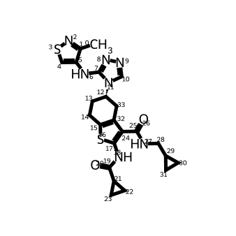 Cc1nscc1Nc1nncn1[C@H]1CCc2sc(NC(=O)C3CC3)c(C(=O)NCC3CC3)c2C1